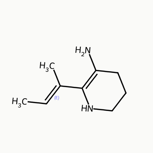 C/C=C(\C)C1=C(N)CCCN1